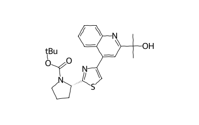 CC(C)(C)OC(=O)N1CCC[C@H]1c1nc(-c2cc(C(C)(C)O)nc3ccccc23)cs1